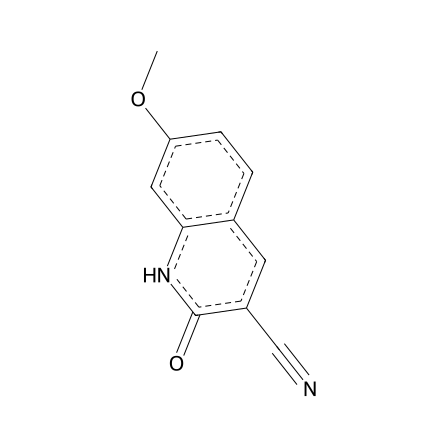 COc1ccc2cc(C#N)c(=O)[nH]c2c1